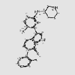 Cc1cccnc1-n1ccc2c(-c3nc(N[C@H]4CCCNC4)ncc3C(F)(F)F)c[nH]c2c1=O